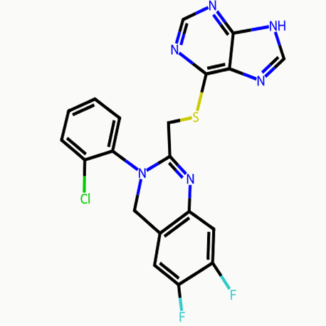 Fc1cc2c(cc1F)N=C(CSc1ncnc3[nH]cnc13)N(c1ccccc1Cl)C2